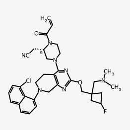 C=CC(=O)N1CCN(c2nc(OCC3(CN(C)C)CC(F)C3)nc3c2CCN(c2cccc4cccc(Cl)c24)C3)C[C@@H]1CC#N